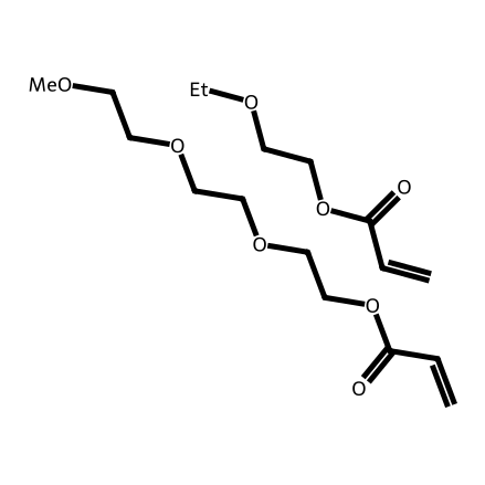 C=CC(=O)OCCOCC.C=CC(=O)OCCOCCOCCOC